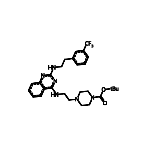 CC(C)(C)OC(=O)N1CCN(CCNc2nc(NCCc3cccc(C(F)(F)F)c3)nc3ccccc23)CC1